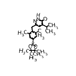 Cc1cc(B2OC(C)(C)C(C)(C)O2)cc(C)c1Cc1cc(C(C)C)c(=O)[nH]n1